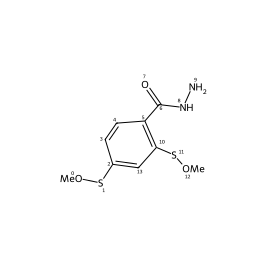 COSc1ccc(C(=O)NN)c(SOC)c1